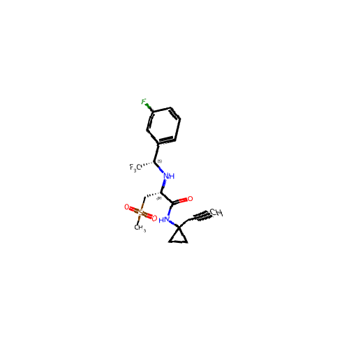 C#CC1(NC(=O)[C@H](CS(C)(=O)=O)N[C@@H](c2cccc(F)c2)C(F)(F)F)CC1